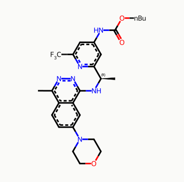 CCCCOC(=O)Nc1cc([C@@H](C)Nc2nnc(C)c3ccc(N4CCOCC4)cc23)nc(C(F)(F)F)c1